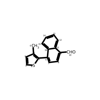 Cc1ccsc1-c1ccc(C=O)c2ccccc12